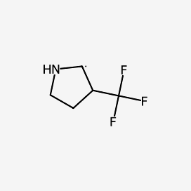 FC(F)(F)C1[CH]NCC1